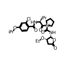 CCO[C@H]1CC(=O)O[C@H]1NC(=O)[N+]1(C(=O)[C@@H](NC(=O)c2ccc(OC(C)C)cc2Cl)C(C)C)CCCC1